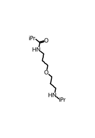 CC(C)NCCCOCCCNC(=O)C(C)C